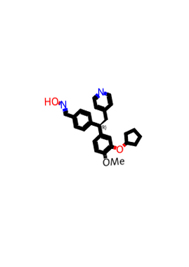 COc1ccc([C@H](Cc2ccncc2)c2ccc(C=NO)cc2)cc1OC1CCCC1